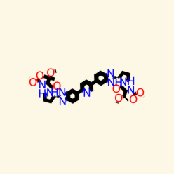 COC(=O)N[C@H](C(=O)N1CCC[C@H]1c1nc2ccc(-c3ccc(-c4ccc5nc([C@@H]6CCCN6C(=O)[C@@H](NC(=O)OC)C(C)(C)OC)[nH]c5c4)nc3)cc2[nH]1)[C@@H](C)OC